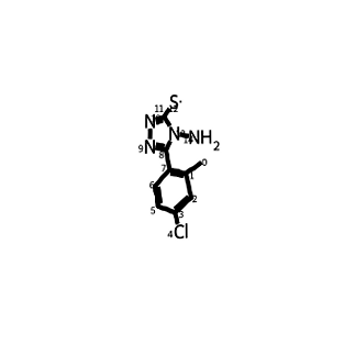 Cc1cc(Cl)ccc1-c1nnc([S])n1N